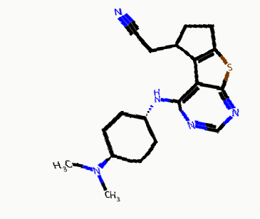 CN(C)[C@H]1CC[C@H](Nc2ncnc3sc4c(c23)C(CC#N)CC4)CC1